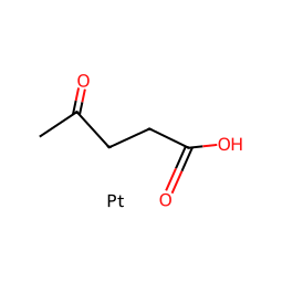 CC(=O)CCC(=O)O.[Pt]